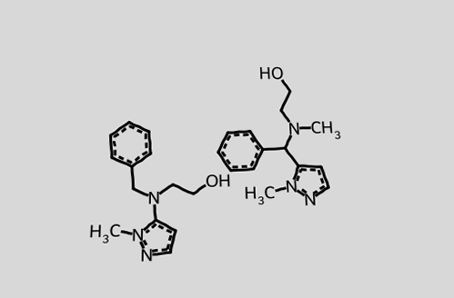 CN(CCO)C(c1ccccc1)c1ccnn1C.Cn1nccc1N(CCO)Cc1ccccc1